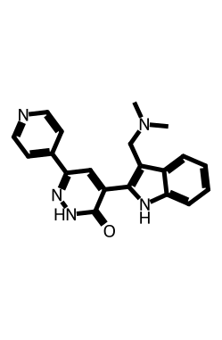 CN(C)Cc1c(-c2cc(-c3ccncc3)n[nH]c2=O)[nH]c2ccccc12